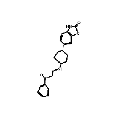 O=c1[nH]c2ccc([C@H]3CC[C@H](NCC[S+]([O-])c4ccccc4)CC3)cc2o1